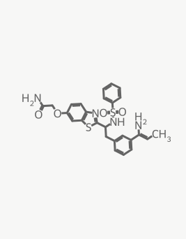 C/C=C(\N)c1cccc(CC(NS(=O)(=O)c2ccccc2)c2nc3ccc(OCC(N)=O)cc3s2)c1